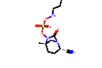 CCCCNOS(=O)(=O)ON1C(=O)N2C[C@@H]1CC[C@H]2C#N